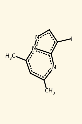 Cc1cc(C)n2ncc(I)c2n1